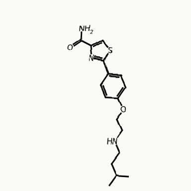 CC(C)CCNCCOc1ccc(-c2nc(C(N)=O)cs2)cc1